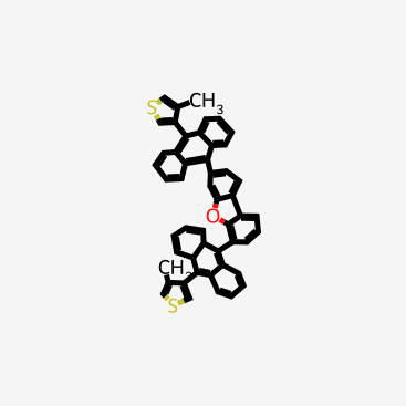 Cc1cscc1C1=c2ccccc2=C(c2cccc3c2oc2cc(-c4c5ccccc5c(-c5cscc5C)c5ccccc45)ccc23)C2C=CC=CC12